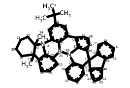 CC(C)(C)c1cc2c3c(c1)N1c4c(cccc4C4(C)CCCCC14C)B3N1c3ccccc3C3(c4ccccc4-c4ccccc43)c3cccc-2c31